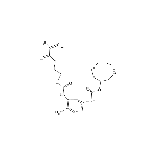 C=C(C)C(=O)OCCOC(=O)Nc1cc(NC(=O)OC2CSCCCSC2)ccc1C